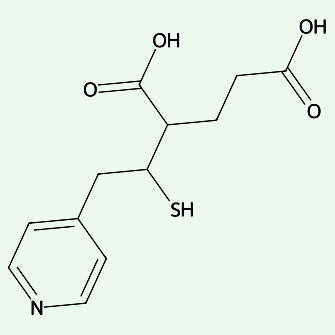 O=C(O)CCC(C(=O)O)C(S)Cc1ccncc1